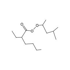 CCCCC(CC)C(=O)OO[C](C)CC(C)C